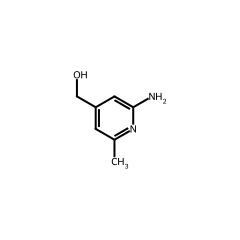 Cc1cc(CO)cc(N)n1